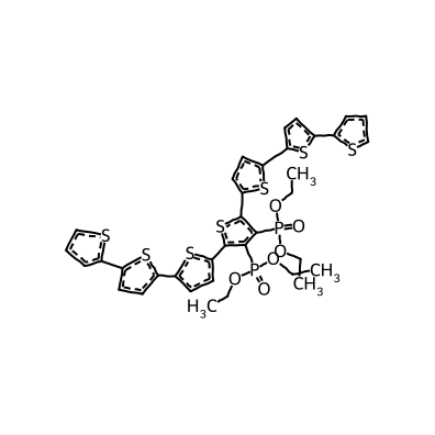 CCOP(=O)(OCC)c1c(-c2ccc(-c3ccc(-c4cccs4)s3)s2)sc(-c2ccc(-c3ccc(-c4cccs4)s3)s2)c1P(=O)(OCC)OCC